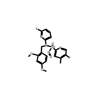 COc1ccc(CN(c2cccc(F)n2)[SH](=O)(N=O)c2cc(C)c(F)cn2)c(OC)c1